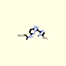 COCC(C)Nc1ccc2nnc(-c3ncc([N+](=O)[O-])n3C)n2n1